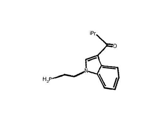 CC(C)C(=O)c1cn(CCP)c2ccccc12